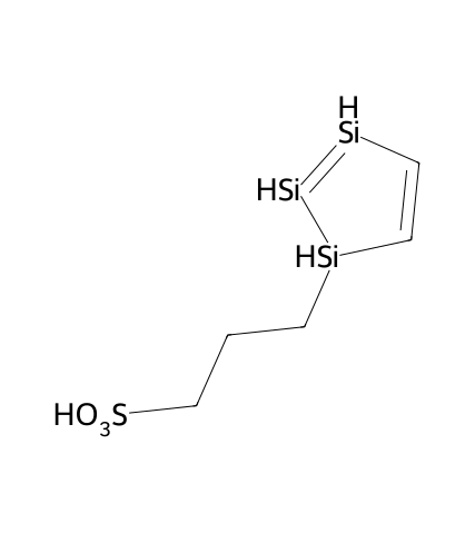 O=S(=O)(O)CCC[SiH]1C=C[SiH]=[SiH]1